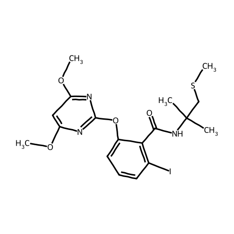 COc1cc(OC)nc(Oc2cccc(I)c2C(=O)NC(C)(C)CSC)n1